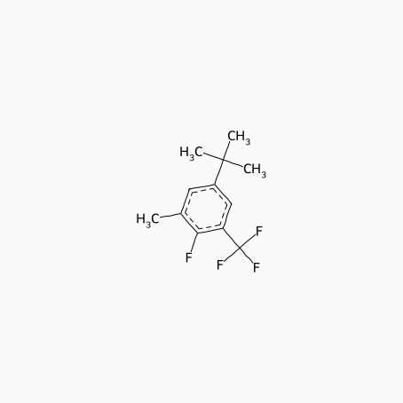 Cc1cc(C(C)(C)C)cc(C(F)(F)F)c1F